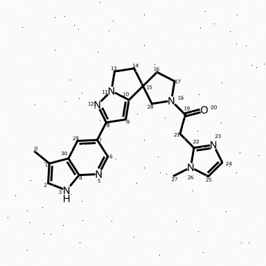 Cc1c[nH]c2ncc(-c3cc4n(n3)CCC43CCN(C(=O)Cc4nccn4C)C3)cc12